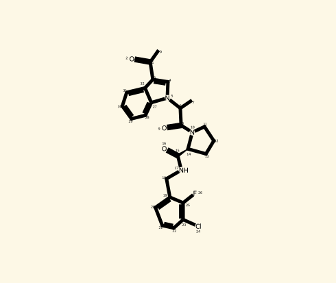 CC(=O)c1cn(C(C)C(=O)N2CCC[C@H]2C(=O)NCc2cccc(Cl)c2F)c2ccccc12